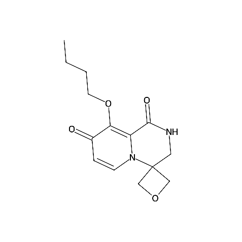 CCCCOc1c2n(ccc1=O)C1(CNC2=O)COC1